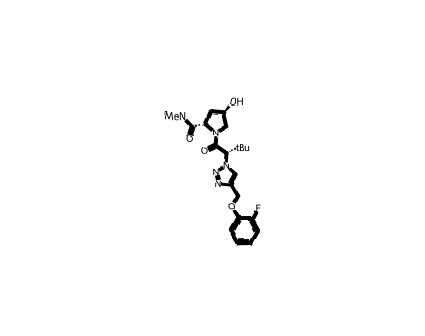 CNC(=O)[C@@H]1C[C@@H](O)CN1C(=O)[C@@H](n1cc(COc2ccccc2F)nn1)C(C)(C)C